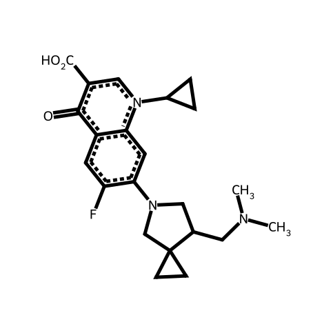 CN(C)CC1CN(c2cc3c(cc2F)c(=O)c(C(=O)O)cn3C2CC2)CC12CC2